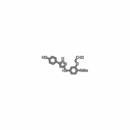 CNc1ccc(Nc2cc(-c3ccc(O)cc3)[nH]n2)cc1OCC=O